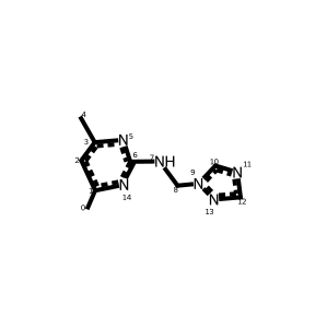 Cc1cc(C)nc(NCn2cncn2)n1